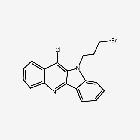 Clc1c2ccccc2nc2c3ccccc3n(CCCBr)c12